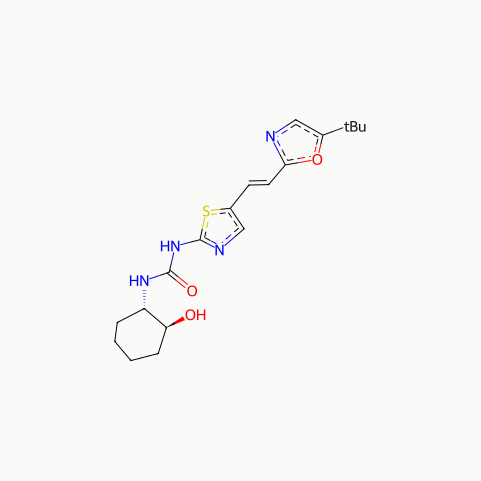 CC(C)(C)c1cnc(C=Cc2cnc(NC(=O)N[C@H]3CCCC[C@@H]3O)s2)o1